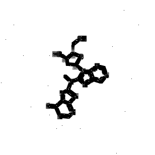 CN(C1=NC2=NC=NC(=S)C2=N1)c1nc2cncnc2n1[C@H]1C[C@@H](O)[C@H](CO)O1